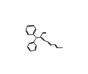 C=C\C(=C/C=C/C=C/C)N(c1ccccc1)c1ccccc1